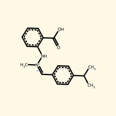 CC(C)c1ccc(/C=[N+](/C)Nc2ccccc2C(=O)O)cc1